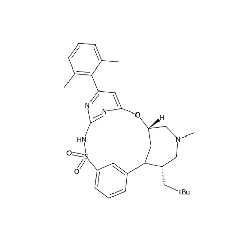 Cc1cccc(C)c1-c1cc2nc(n1)NS(=O)(=O)c1cccc(c1)C1C[C@@H](CN(C)C[C@@H]1CC(C)(C)C)O2